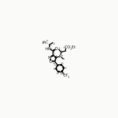 CCOC(=O)CC(C)N(C)c1c(C(=O)N[C@@H](C)C(C)C)noc1-c1ccc(C(F)(F)F)cc1